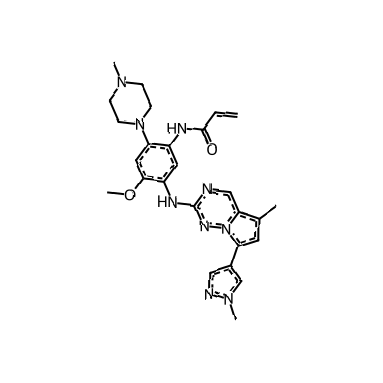 C=CC(=O)Nc1cc(Nc2ncc3c(C)cc(-c4cnn(C)c4)n3n2)c(OC)cc1N1CCN(C)CC1